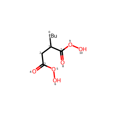 CC(C)(C)C(CC(=O)OO)C(=O)OO